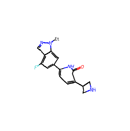 CCn1ncc2c(F)cc(-c3ccc(C4CNC4)c(=O)[nH]3)cc21